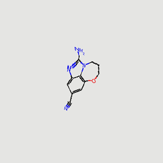 N#Cc1cc2c3c(c1)nc(N)n3CCCO2